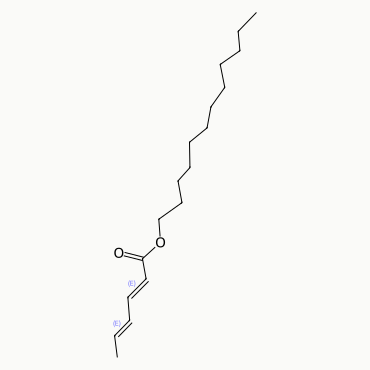 C/C=C/C=C/C(=O)OCCCCCCCCCCCC